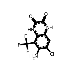 Nc1c(Cl)cc2[nH]c(=O)c(=O)[nH]c2c1C(F)(F)F